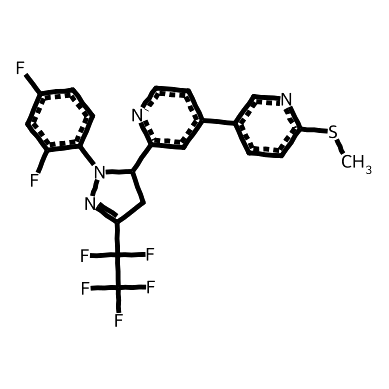 CSc1ccc(-c2ccnc(C3CC(C(F)(F)C(F)(F)F)=NN3c3ccc(F)cc3F)c2)cn1